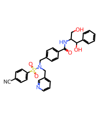 N#Cc1ccc(S(=O)(=O)N(Cc2ccc(C(=O)NC(CO)C(O)c3ccccc3)cc2)Cc2cccnc2)cc1